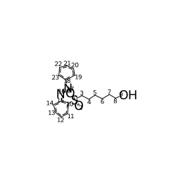 O=S(=O)(CCCCCCO)c1ccccc1N=Nc1ccccc1